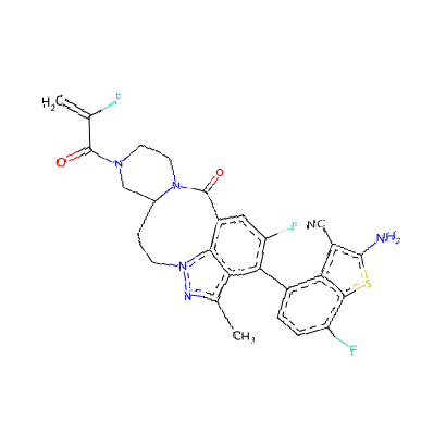 C=C(F)C(=O)N1CCN2C(=O)c3cc(F)c(-c4ccc(F)c5sc(N)c(C#N)c45)c4c(C)nn(c34)CCC2C1